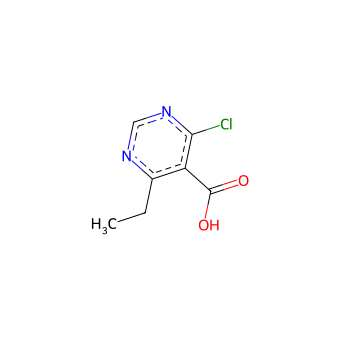 CCc1ncnc(Cl)c1C(=O)O